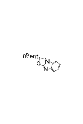 CCCCCC1Cn2c(nc3ccccc32)O1